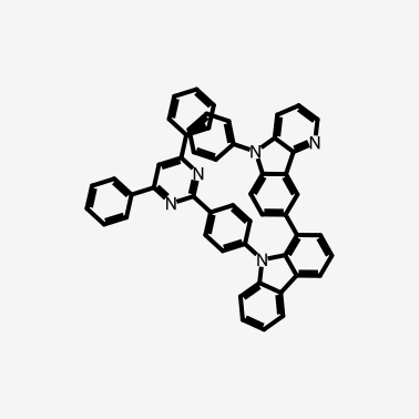 c1ccc(-c2cc(-c3ccccc3)nc(-c3ccc(-n4c5ccccc5c5cccc(-c6ccc7c(c6)c6ncccc6n7-c6ccccc6)c54)cc3)n2)cc1